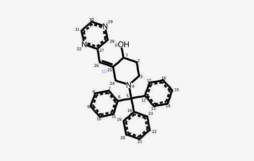 OC1CCN(C(c2ccccc2)(c2ccccc2)c2ccccc2)C/C1=C/c1cnccn1